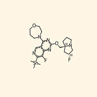 [CH3][Sn]([CH3])([CH3])[c]1ncc2c(N3CCCOCC3)nc(OC[C@@]34CCCN3C[C@H](F)C4)nc2c1F